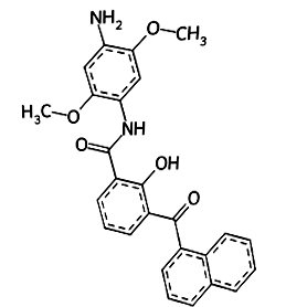 COc1cc(NC(=O)c2cccc(C(=O)c3cccc4ccccc34)c2O)c(OC)cc1N